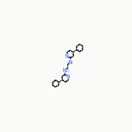 C(/C=N/c1cc(-c2ccccc2)ccn1)=N\c1cc(-c2ccccc2)ccn1